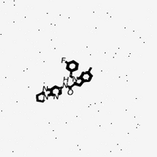 Cc1ccc2cc(C(=O)Nc3cnc4c(c3)nc3n4CCC3)n(Cc3cccc(F)c3)c2c1